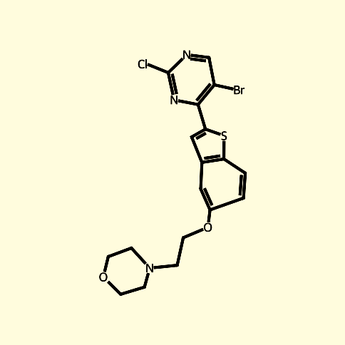 Clc1ncc(Br)c(-c2cc3cc(OCCN4CCOCC4)ccc3s2)n1